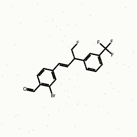 O=Cc1ccc(/C=C/C(CF)c2cccc(C(F)(F)F)c2)cc1Br